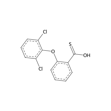 OC(=S)c1ccccc1Oc1c(Cl)cccc1Cl